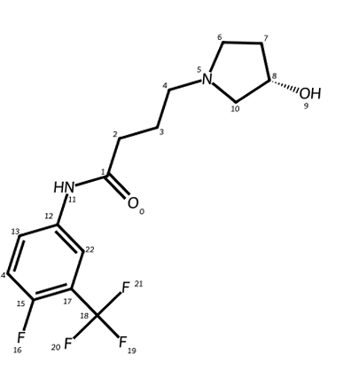 O=C(CCCN1CC[C@H](O)C1)Nc1ccc(F)c(C(F)(F)F)c1